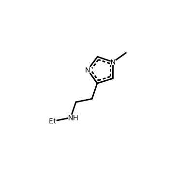 CCNCCc1cn(C)cn1